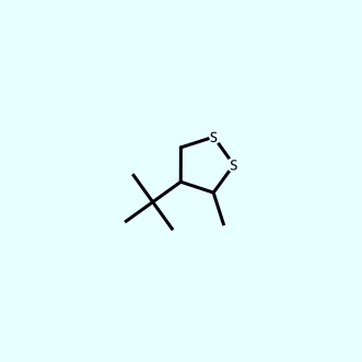 CC1SSCC1C(C)(C)C